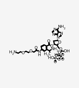 CC(N)c1cc(NC(=O)COCCOCCN)ccc1C(=O)O[C@@H]1C[C@H](n2cnc3c(N)ncnc32)OC1COP(=O)(O)OP(=O)(O)OP(=O)(O)O